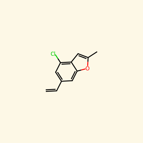 C=Cc1cc(Cl)c2cc(C)oc2c1